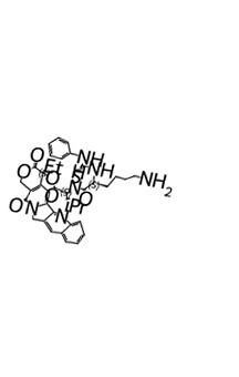 CC[C@@]1(OC(=O)[C@@H](NC(=O)[C@H](CCCCN)NC(=S)Nc2ccccc2)C(C)C)C(=O)OCc2c1cc1n(c2=O)Cc2cc3ccccc3nc2-1